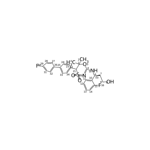 CC1(C)OC(N[C@@H](CCO)c2ccccc2F)=NS(=O)(=O)C1c1ccc(-c2ccc(F)cc2)cc1